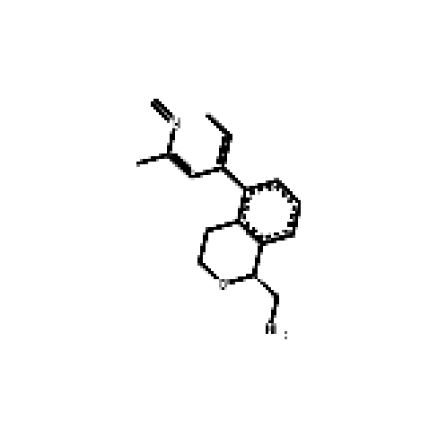 C=N/C(C)=C\C(=C/C)c1cccc2c1CCO[C@@H]2CN